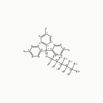 Cc1ccc([PH](CC(F)(F)C(F)(F)C(F)(F)C(F)(F)C(F)(F)F)(c2ccc(C)cc2)c2ccc(C)cc2)cc1